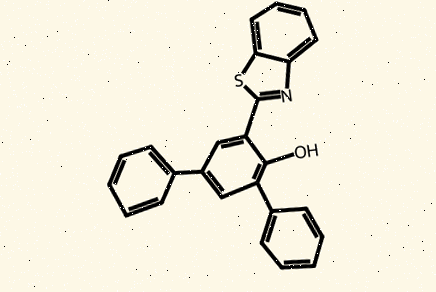 Oc1c(-c2ccccc2)cc(-c2ccccc2)cc1-c1nc2ccccc2s1